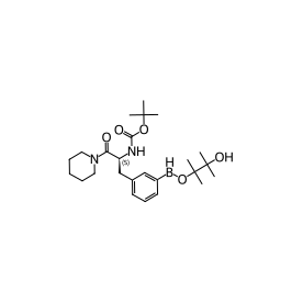 CC(C)(C)OC(=O)N[C@@H](Cc1cccc(BOC(C)(C)C(C)(C)O)c1)C(=O)N1CCCCC1